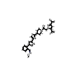 CO/N=C\c1ccccc1C1CC(c2csc(C3CCN(C(=O)Cn4nc(C(F)F)cc4C(F)F)CC3)n2)=NO1